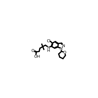 CC(C)(CCC(=O)O)CNc1cc2c(cnn2C2CCCCO2)cc1Cl